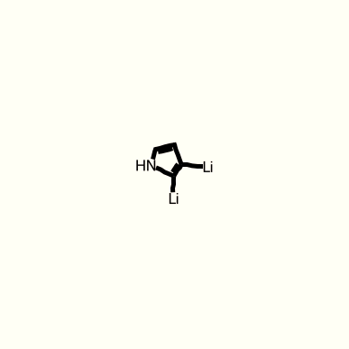 [Li][c]1cc[nH][c]1[Li]